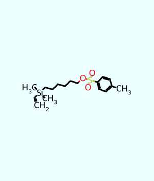 C=C[Si](C)(C)CCCCCCOS(=O)(=O)c1ccc(C)cc1